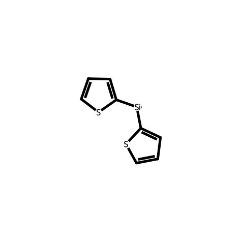 c1csc([Si]c2cccs2)c1